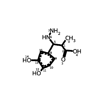 CC(C(=O)O)C(NN)c1ccc(O)c(O)c1